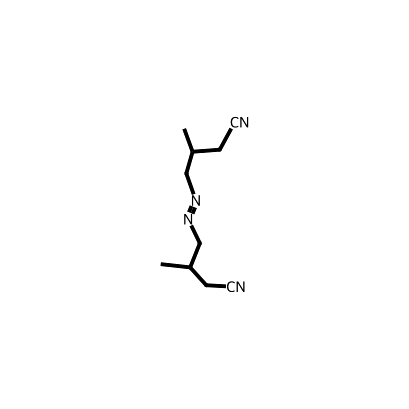 CC(CC#N)CN=NCC(C)CC#N